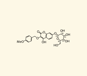 COc1ccc(COc2c(O)c3ccc(O[C@@H]4O[C@H](CO)[C@H](O)[C@H](O)[C@H]4O)cc3oc2=O)cc1